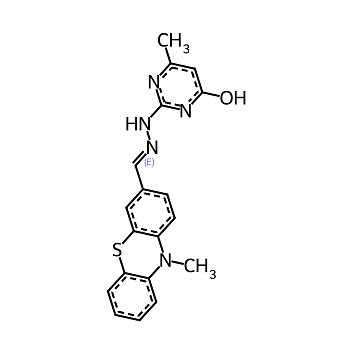 Cc1cc(O)nc(N/N=C/c2ccc3c(c2)Sc2ccccc2N3C)n1